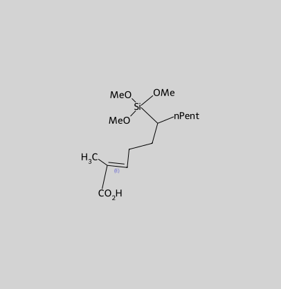 CCCCCC(CC/C=C(\C)C(=O)O)[Si](OC)(OC)OC